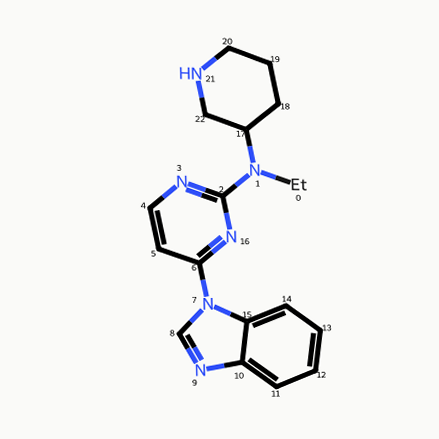 CCN(c1nccc(-n2cnc3ccccc32)n1)C1CCCNC1